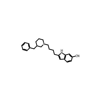 N#Cc1ccc2cc(CCCCN3CCCC(Cc4ccccc4)C3)[nH]c2c1